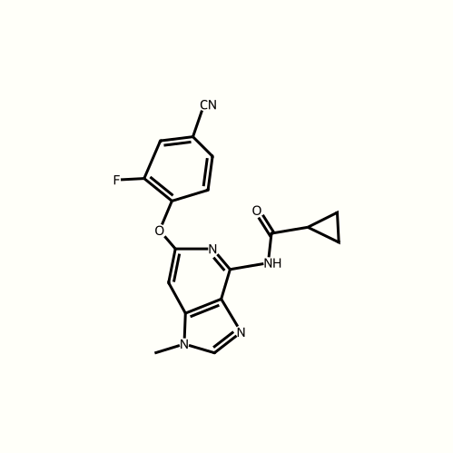 Cn1cnc2c(NC(=O)C3CC3)nc(Oc3ccc(C#N)cc3F)cc21